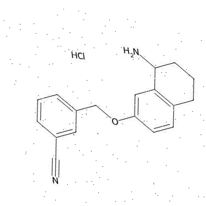 Cl.N#Cc1cccc(COc2ccc3c(c2)C(N)CCC3)c1